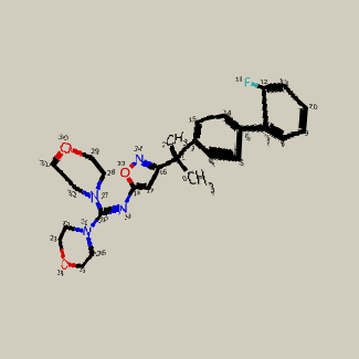 CC(C)(c1ccc(-c2ccccc2F)cc1)c1cc(N=C(N2CCOCC2)N2CCOCC2)on1